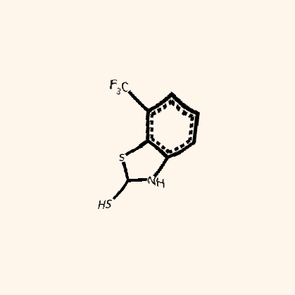 FC(F)(F)c1cccc2c1SC(S)N2